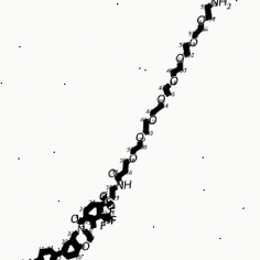 Cc1c(C(=O)N2CCOc3ccc(-c4ccc(N)nc4)cc3C2)ccc(S(=O)(=O)CCNC(=O)CCOCCOCCOCCOCCOCCOCCOCCOCCN)c1C(F)(F)F